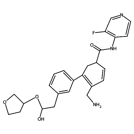 NCC1=C(c2cccc(CC(O)OC3CCOC3)c2)CC(C(=O)Nc2ccncc2F)C=C1